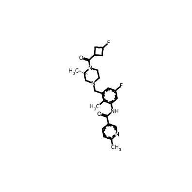 Cc1ccc(C(=O)Nc2cc(F)cc(CN3CCN(C(=O)C4CC(F)C4)[C@@H](C)C3)c2C)cn1